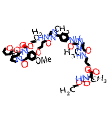 C=CCOC(=O)N[C@@H](C)C(=O)OCCCNC(=O)c1cnc(C(=O)Nc2ccc(-c3nc(NC(=O)CCCOc4cc5c(cc4OC)C(=O)N4CCC[C@H]4C(OC4CCCCO4)N5C(=O)OCC=C)cn3C)cc2)n1C